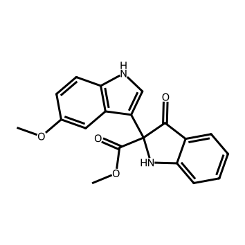 COC(=O)C1(c2c[nH]c3ccc(OC)cc23)Nc2ccccc2C1=O